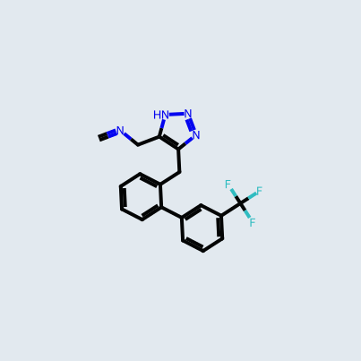 C=NCc1[nH]nnc1Cc1ccccc1-c1cccc(C(F)(F)F)c1